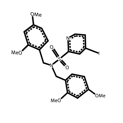 COc1ccc(CN(Cc2ccc(OC)cc2OC)S(=O)(=O)c2cc(I)ccn2)c(OC)c1